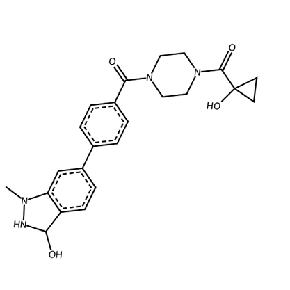 CN1NC(O)c2ccc(-c3ccc(C(=O)N4CCN(C(=O)C5(O)CC5)CC4)cc3)cc21